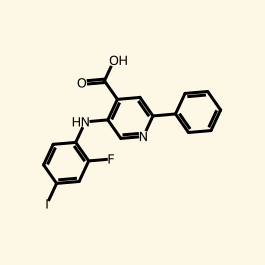 O=C(O)c1cc(-c2ccccc2)ncc1Nc1ccc(I)cc1F